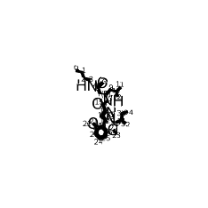 CCCCNC(=O)C[C@@H](CC(C)C)NC(=O)c1cc(-c2c(OC)cccc2OC)n(CC(C)CC)n1